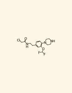 O=C(CCl)NCCc1ccc(N2CCNCC2)c(OC(F)F)c1